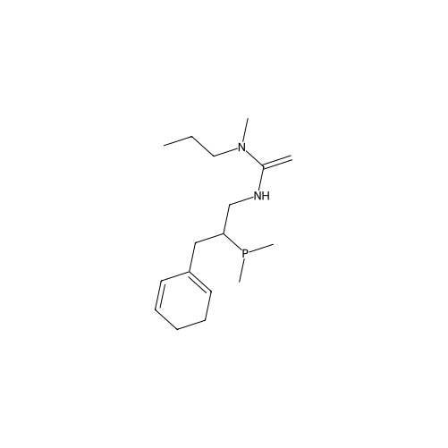 C=C(NCC(CC1=CCCC=C1)P(C)C)N(C)CCC